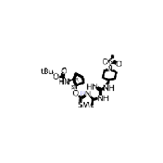 CS/C(=N\C(C)NC(=N)NC1CCN(S(C)(=O)=O)CC1)O[C@H]1CCC[C@@H]1NC(=O)OC(C)(C)C